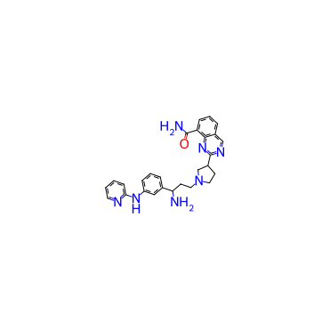 NC(=O)c1cccc2cnc(C3CCN(CCC(N)c4cccc(Nc5ccccn5)c4)C3)nc12